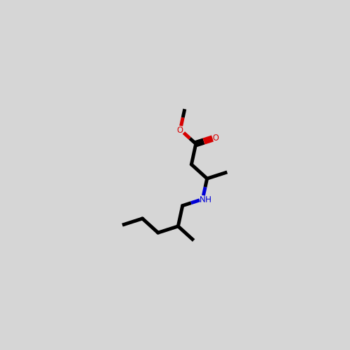 CCCC(C)CNC(C)CC(=O)OC